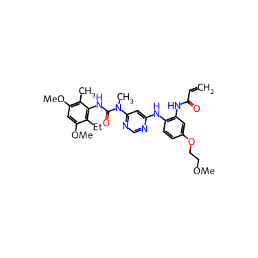 C=CC(=O)Nc1cc(OCCOC)ccc1Nc1cc(N(C)C(=O)Nc2c(C)c(OC)cc(OC)c2CC)ncn1